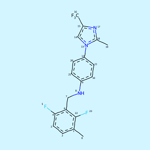 Cc1ccc(F)c(CNc2ccc(-n3cc(C(F)(F)F)nc3C)cc2)c1F